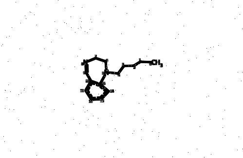 CCCCCN1CCN=Cc2ccccc21